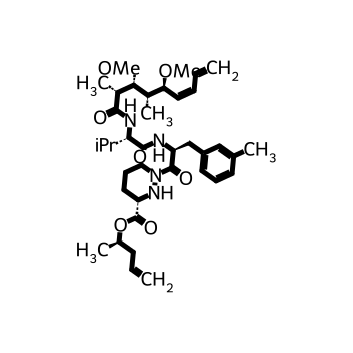 C=C/C=C\[C@H](OC)[C@H](C)[C@@H](OC)[C@@H](C)C(=O)N[C@H](C(=O)N[C@@H](Cc1cccc(C)c1)C(=O)N1CCC[C@@H](C(=O)O[C@H](C)CC=C)N1)C(C)C